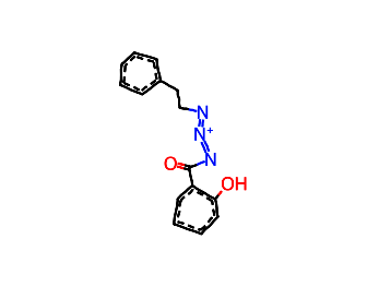 O=C(N=[N+]=NCCc1ccccc1)c1ccccc1O